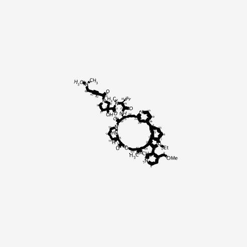 CCn1c(-c2cnccc2COC)c2c3cc(ccc31)-c1ccnc(c1)C[C@H](NC(=O)[C@H](C(C)C)N(C)C(=O)C1(O)CCN(C(=O)C#CCN(C)C)C1)C(=O)N1CCC[C@H](N1)C(=O)OCC(C)(C)C2